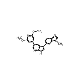 COc1cc(-c2cnc3[nH]cc(-c4ccc5ncn(C)c5c4)c3c2)cc(OC)n1